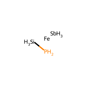 [Fe].[SbH3].[SiH3]P